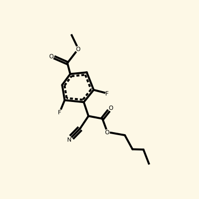 CCCCOC(=O)C(C#N)c1c(F)cc(C(=O)OC)cc1F